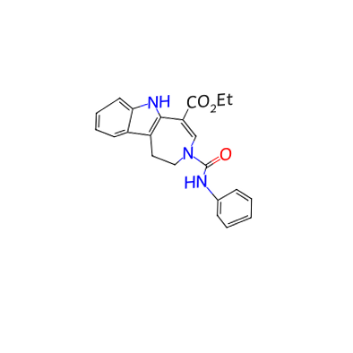 CCOC(=O)C1=CN(C(=O)Nc2ccccc2)CCc2c1[nH]c1ccccc21